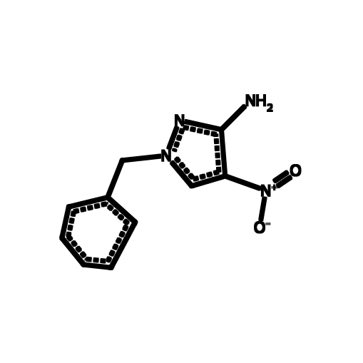 Nc1nn(Cc2ccccc2)cc1[N+](=O)[O-]